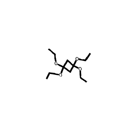 CCOC1(OCC)CC(OCC)(OCC)C1